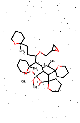 C.CCO[Si](OCC)(OCC)C(CC(C(CCC1([SiH3])CCCCO1)OCC1CO1)C1([SiH3])CCCCO1)C(C1([SiH3])CCCCO1)C1([SiH](C)C)CCCCO1